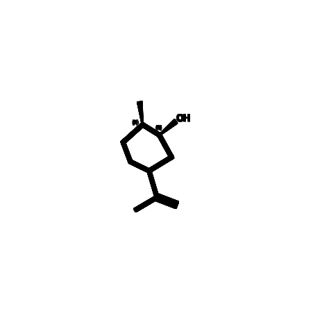 C=C(C)C1CC[C@@H](C)[C@@H](O)C1